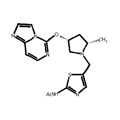 CC(=O)Nc1ncc(CN2C[C@H](Oc3nccc4nccn34)C[C@@H]2C)s1